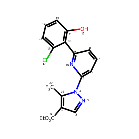 CCOC(=O)c1cnn(-c2cccc(-c3c(O)cccc3Cl)n2)c1C(F)(F)F